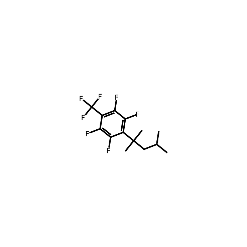 CC(C)CC(C)(C)c1c(F)c(F)c(C(F)(F)F)c(F)c1F